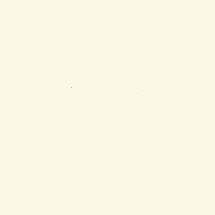 CCCCc1cc2c(cc1-c1cccc(C=CC(=O)O)c1)C(C)(C)CCC2(C)C